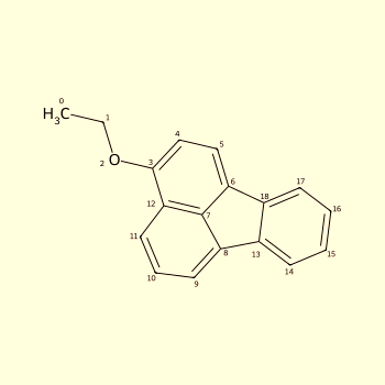 CCOc1ccc2c3c(cccc13)-c1ccccc1-2